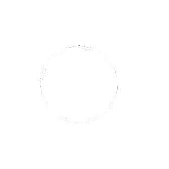 C1=CC=CC=CC=C[SiH2]C=CC=CC=CC=C1